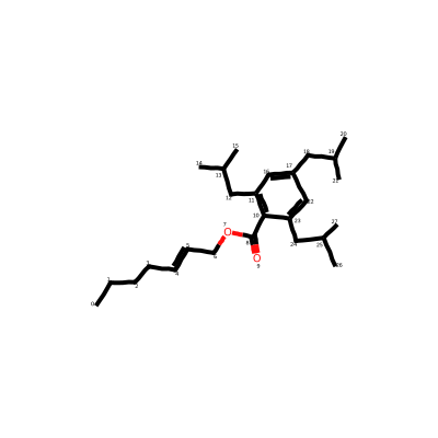 CCCCC=CCOC(=O)c1c(CC(C)C)cc(CC(C)C)cc1CC(C)C